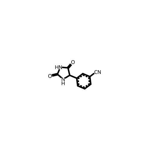 N#Cc1cccc(C2NC(=O)NC2=O)c1